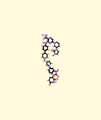 CN1CCN(C2CCCN(c3cnc(C(N)=O)c(Nc4ccc(C5CCN(C[C@@H]6CCN(c7ccc8c(c7)n(C)c(=O)n8C7CCC(=O)NC7=O)C6)CC5)cc4)n3)C2)C1=O